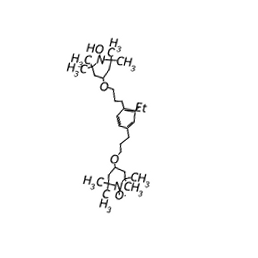 CCc1cc(CCCOC2CC(C)(C)N([O])C(C)(C)C2)ccc1CCCOC1CC(C)(C)N(O)C(C)(C)C1